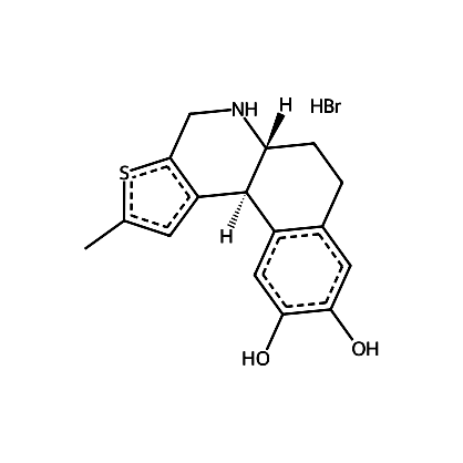 Br.Cc1cc2c(s1)CN[C@@H]1CCc3cc(O)c(O)cc3[C@@H]21